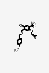 COc1ccc(COCc2cc(OCC3CO3)c(C(N)=O)cc2Cl)cc1